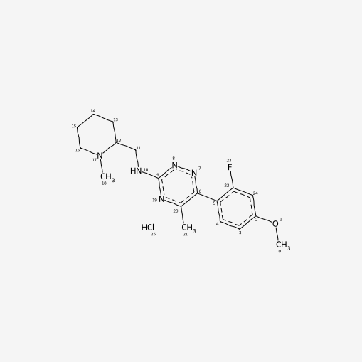 COc1ccc(-c2nnc(NCC3CCCCN3C)nc2C)c(F)c1.Cl